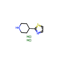 Cl.Cl.c1csc(C2CCNCC2)n1